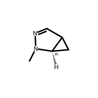 CN1N=CC2C[C@H]21